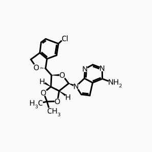 CC1(C)O[C@H]2[C@@H](O1)[C@H](n1ccc3c(N)ncnc31)O[C@@H]2[C@@H]1OCc2ccc(Cl)cc21